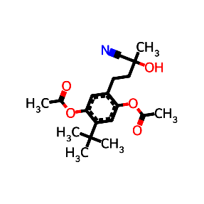 CC(=O)Oc1cc(C(C)(C)C)c(OC(C)=O)cc1CCC(C)(O)C#N